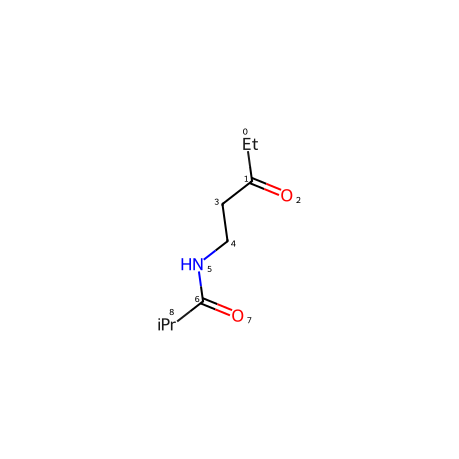 CCC(=O)CCNC(=O)C(C)C